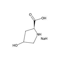 O=C(O)[C@@H]1CC(O)CN1.[NaH]